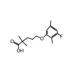 Cc1cc(F)c(C)c(OCCCC(C)(C)C(=O)O)c1